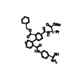 COC(=O)[C@@H](NC(=O)c1ccc(-c2cnccc2C(=O)Nc2ccc(C(=N)N)cc2)c(C(=O)OCc2ccccc2)c1)C(C)C